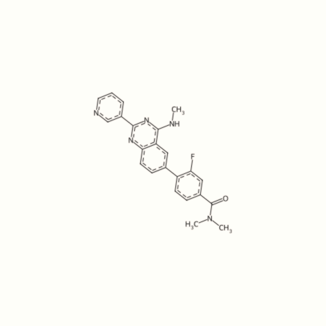 CNc1nc(-c2cccnc2)nc2ccc(-c3ccc(C(=O)N(C)C)cc3F)cc12